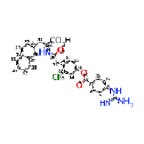 N=C(N)Nc1ccc(C(=O)Oc2ccc(CC(=O)N[C@@H](Cc3ccc4ccccc4c3)C(=O)O)c(Cl)c2)cc1